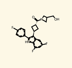 O=C([C@H]1C[C@H](c2c(-c3ccc(F)cc3)[nH]c3c(F)cc(F)cc32)C1)N1CC(CO)C1